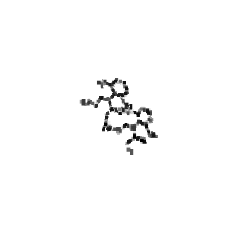 CCCCOCN(C(=O)CCl)c1c(C)cccc1C(C)(C)C.CCCCOCN(C(=O)CCl)c1c(C)cccc1C(C)(C)C